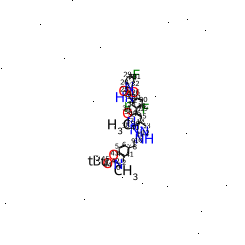 CN(Cc1cccc(CCNc2ncc3cc(-c4c(F)ccc(NS(=O)(=O)N5CC[C@@H](F)C5)c4F)c(=O)n(C)c3n2)c1)C(=O)OC(C)(C)C